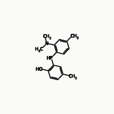 Cc1ccc(O)c(Pc2ccc(C)cc2N(C)C)c1